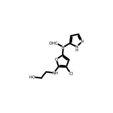 O=CN(c1ccn[nH]1)c1cc(Cl)c(NCCO)o1